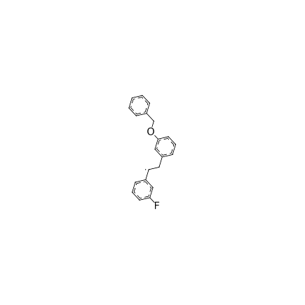 Fc1cccc([CH]Cc2cccc(OCc3ccccc3)c2)c1